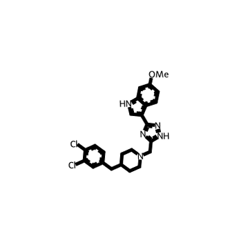 COc1ccc2c(-c3n[nH]c(CN4CCC(Cc5ccc(Cl)c(Cl)c5)CC4)n3)c[nH]c2c1